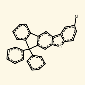 Clc1ccc2oc3cc4c(cc3c2c1)-c1ccccc1C4(c1ccccc1)c1ccccc1